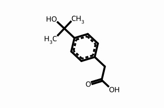 CC(C)(O)c1ccc(CC(=O)O)cc1